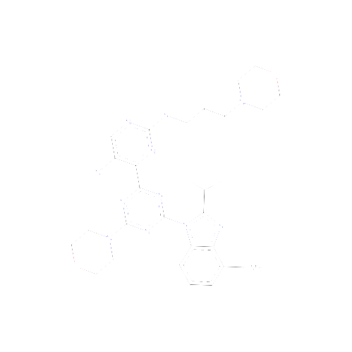 COc1cccc2c1nc(C(F)F)n2-c1nc(-c2nc(NCCCN3CCOCC3)ncc2N)nc(N2CCOCC2)n1